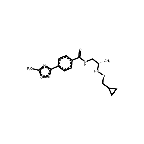 C[C@@H](CNC(=O)c1ccc(-c2noc(C(F)(F)F)n2)cc1)NOCC1CC1